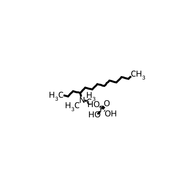 CCCCCCCCCC(CCC)N(C)C.O=P(O)(O)O